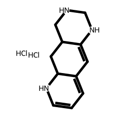 C1=CNC2CC3CNCNC3=CC2=C1.Cl.Cl